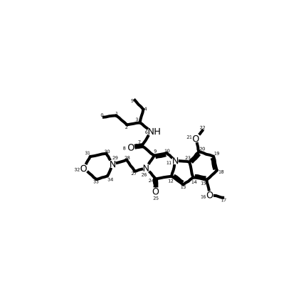 CCCC(CC)NC(=O)c1cn2c(cc3c(OC)ccc(OC)c32)c(=O)n1CCN1CCOCC1